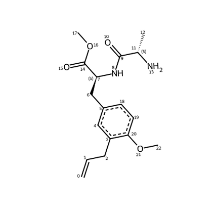 C=CCc1cc(C[C@H](NC(=O)[C@H](C)N)C(=O)OC)ccc1OC